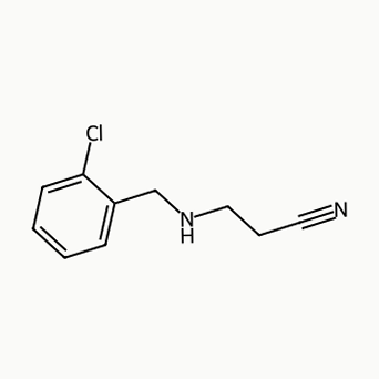 N#CCCNCc1ccccc1Cl